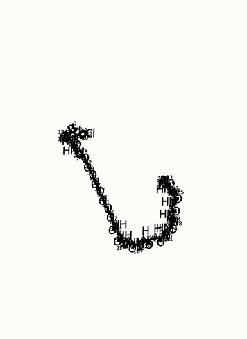 Cc1sc2c(c1C)C(c1ccc(Cl)cc1)=N[C@@H](CC(=O)Nc1ccc(OCCOCCOCCOCCOCCOCCOCCOCCNC(=O)CCNC(=O)c3cc(NC(=O)c4nc(NC(=O)CCNC(=O)c5cc(NC(=O)c6nc(NC(=O)CCNC(=O)c7cc(NC(=O)c8nccn8C)cn7C)cn6C)cn5C)cn4C)cn3C)cc1)c1nnc(C)n1-2